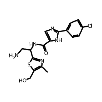 Cc1nc(C(CN)NC(=O)c2cnc(-c3ccc(Cl)cc3)[nH]2)sc1CO